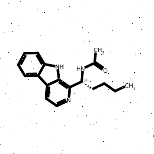 CCCC[C@@H](NC(C)=O)c1nccc2c1[nH]c1ccccc12